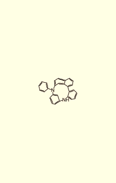 c1ccc(-n2c3cccc(c3)[nH]c3ccccc3c3cccc4ccc2cc43)cc1